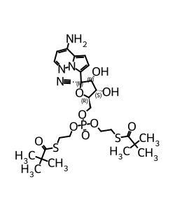 CC(C)(C)C(=O)SCCOP(=O)(OCCSC(=O)C(C)(C)C)OC[C@H]1O[C@@](C#N)(c2ccc3c(N)ccnn23)[C@H](O)[C@@H]1O